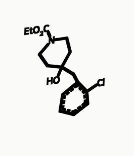 CCOC(=O)N1CCC(O)(Cc2ccccc2Cl)CC1